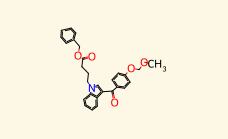 COCOc1ccc(C(=O)c2cn(CCCC(=O)OCc3ccccc3)c3ccccc23)cc1